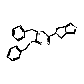 O=C(OCc1ccccc1)[C@H](CC(=O)N1Cc2cscc2C1)Cc1ccccc1